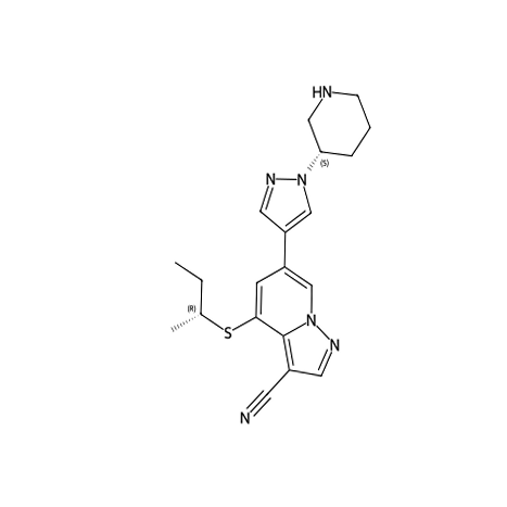 CC[C@@H](C)Sc1cc(-c2cnn([C@H]3CCCNC3)c2)cn2ncc(C#N)c12